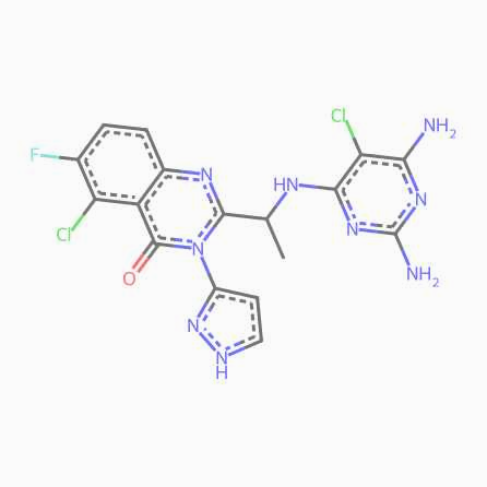 CC(Nc1nc(N)nc(N)c1Cl)c1nc2ccc(F)c(Cl)c2c(=O)n1-c1cc[nH]n1